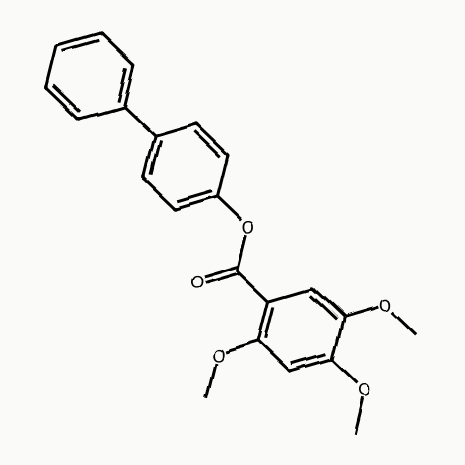 COc1cc(OC)c(C(=O)Oc2ccc(-c3ccccc3)cc2)cc1OC